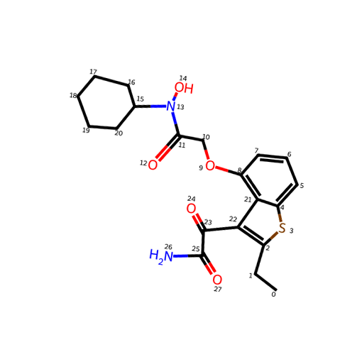 CCc1sc2cccc(OCC(=O)N(O)C3CCCCC3)c2c1C(=O)C(N)=O